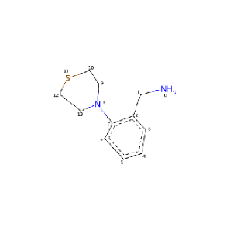 NCc1ccccc1N1CCSCC1